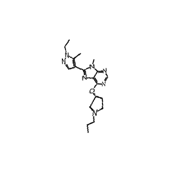 CCCN1CC[C@H](Oc2ncnc3c2nc(-c2cnn(CC)c2C)n3C)C1